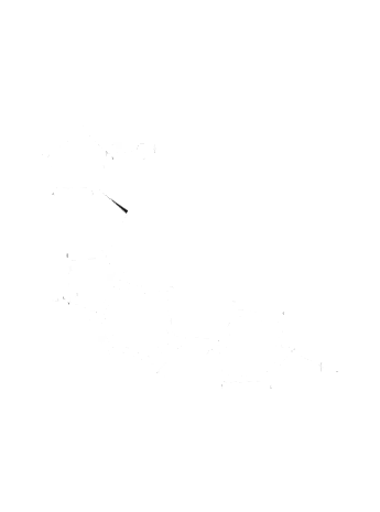 CN1CCC[C@@H]1CC1CNc2ccc(-c3ccc(F)cc3)cc21